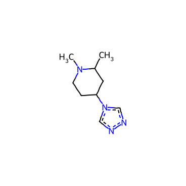 CC1CC(n2cnnc2)CCN1C